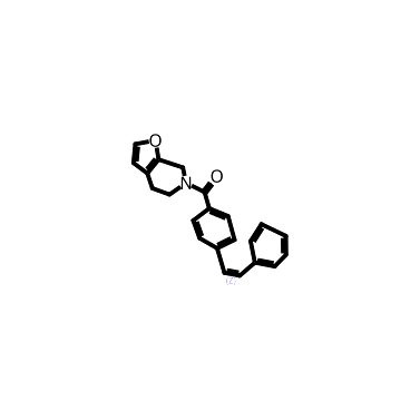 O=C(c1ccc(/C=C\c2ccccc2)cc1)N1CCc2ccoc2C1